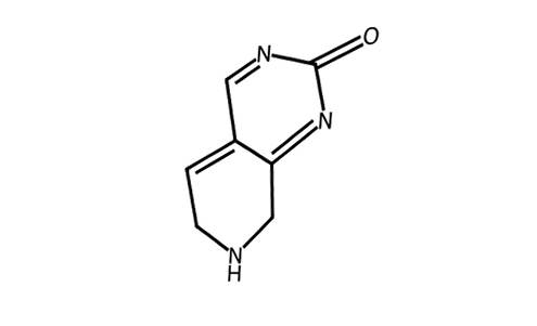 O=C1N=CC2=CCNCC2=N1